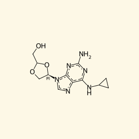 Nc1nc(NC2CC2)c2ncn([C@H]3COC(CO)O3)c2n1